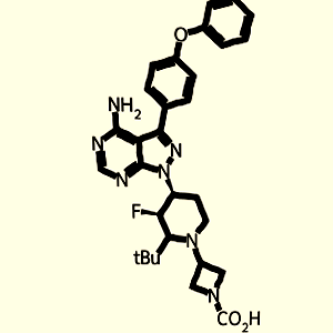 CC(C)(C)C1[C@@H](F)[C@@H](n2nc(-c3ccc(Oc4ccccc4)cc3)c3c(N)ncnc32)CCN1C1CN(C(=O)O)C1